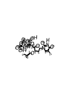 CC(C)=CO[C@H]1C[C@H](n2cc(C)c(=O)[nH]c2=O)O[C@@H]1COP(=O)(O)OP(=O)(O)OP(=O)(O)O